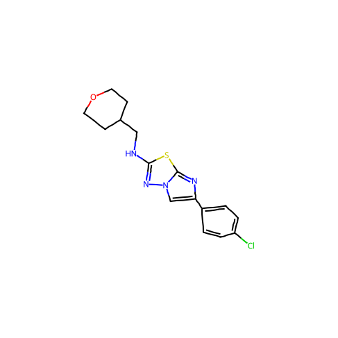 Clc1ccc(-c2cn3nc(NCC4CCOCC4)sc3n2)cc1